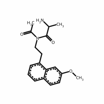 COc1ccc2cccc(CCN(C(C)=O)C(=O)C(C)N)c2c1